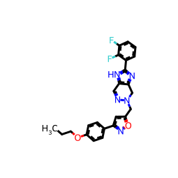 CCCOc1ccc(-c2cc(CN3Cc4nc(-c5cccc(F)c5F)[nH]c4C=N3)on2)cc1